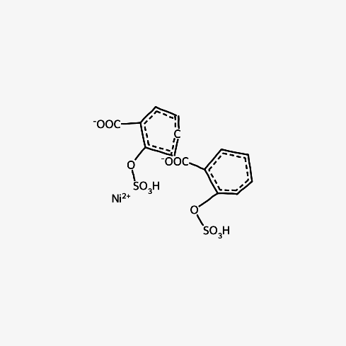 O=C([O-])c1ccccc1OS(=O)(=O)O.O=C([O-])c1ccccc1OS(=O)(=O)O.[Ni+2]